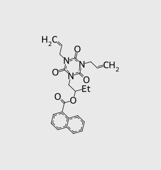 C=CCn1c(=O)n(CC=C)c(=O)n(CC(CC)OC(=O)c2cccc3ccccc23)c1=O